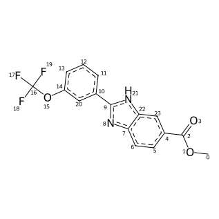 COC(=O)c1ccc2nc(-c3cccc(OC(F)(F)F)c3)[nH]c2c1